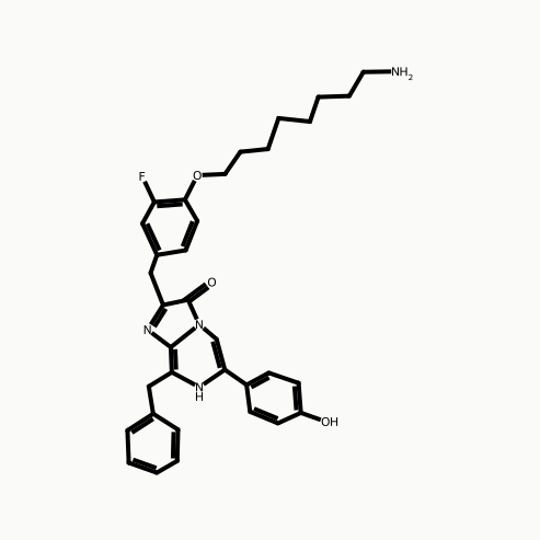 NCCCCCCCCOc1ccc(Cc2nc3c(Cc4ccccc4)[nH]c(-c4ccc(O)cc4)cn-3c2=O)cc1F